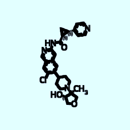 C[C@]1(N2CCC(c3cc4cc(NC(=O)[C@H]5C[C@@H]5c5ccncc5)ncc4cc3Cl)CC2)COC[C@H]1O